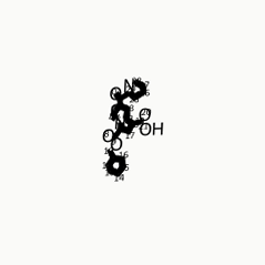 O=C(c1ccn2c(C(=O)OCc3ccccc3)cc(C(=O)O)c2c1)c1ccccn1